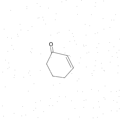 O=C1[C]=CCCC1